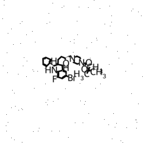 CC(C)(C)OC(=O)N1CCN(C[C@H]2CC[C@@H]3[C@H](O2)c2cc(Br)cc(F)c2N[C@H]3c2ccccc2)CC1